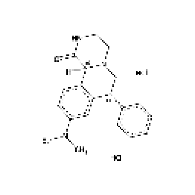 CCN(C)c1ccc2c(c1)[C@@H](c1ccccc1)CN1CCNC(=O)[C@H]21.Cl.Cl